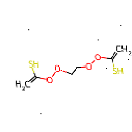 C=C(S)OOCCOOC(=C)S